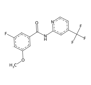 COc1[c]c(F)cc(C(=O)Nc2cc(C(F)(F)F)ccn2)c1